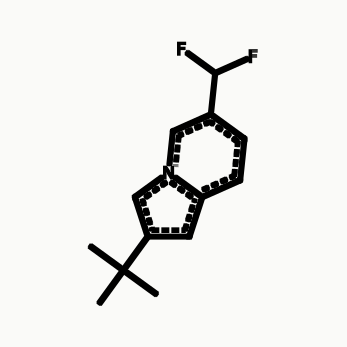 CC(C)(C)c1cc2ccc(C(F)F)cn2c1